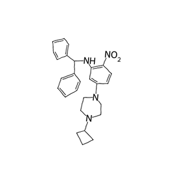 O=[N+]([O-])c1ccc(N2CCN(C3CCC3)CC2)cc1NC(c1ccccc1)c1ccccc1